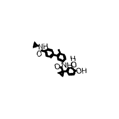 Cc1ccc(NC(=O)C2(c3ccc(O)c(O)c3)CC2)cc1-c1ccc(C(=O)NC2CC2)cc1